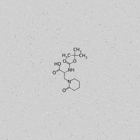 CC(C)(C)OC(=O)NC(CN1CCCCC1=O)C(=O)O